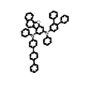 c1ccc(-c2ccc(-c3ccc(N(c4ccccc4)c4cc(N(c5ccccc5)c5ccc(-c6ccccc6)c(-c6ccccc6)c5)cc5oc6c7ccccc7ccc6c45)cc3)cc2)cc1